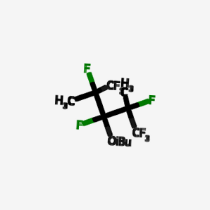 CC(C)COC(F)(C(C)(F)C(F)(F)F)C(C)(F)C(F)(F)F